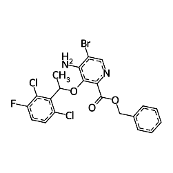 CC(Oc1c(C(=O)OCc2ccccc2)ncc(Br)c1N)c1c(Cl)ccc(F)c1Cl